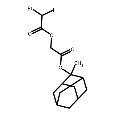 CCC(I)C(=O)OCC(=O)OC1(C)C2CC3CC(C2)CC1C3